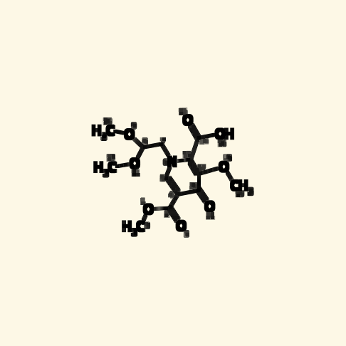 COC(=O)c1cn(CC(OC)OC)c(C(=O)O)c(OC)c1=O